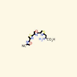 N#Cc1coc(-c2csc(-c3coc(-c4csc(C[C@H](N)C(=O)O)n4)n3)n2)n1